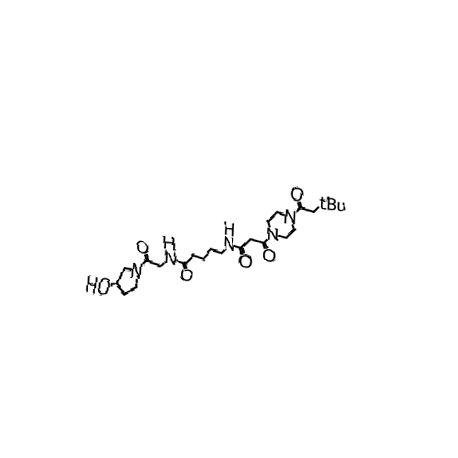 CC(C)(C)CC(=O)N1CCN(C(=O)CC(=O)NCCCCC(=O)NCC(=O)N2CC[C@@H](O)C2)CC1